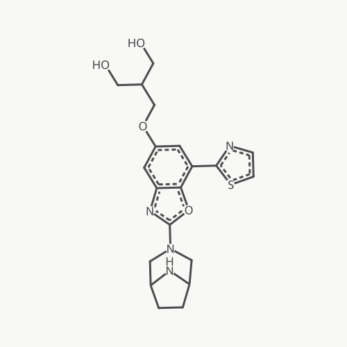 OCC(CO)COc1cc(-c2nccs2)c2oc(N3CC4CCC(C3)N4)nc2c1